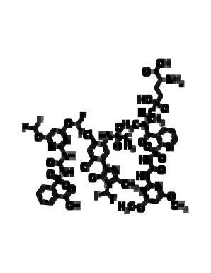 COc1cc(OC)nc(NC(=O)NS(=O)(=O)c2ncccc2C(=O)N(C)C)n1.CP(=O)(O)CCC(N)C(=O)O.Cc1nn(-c2cc(NS(C)(=O)=O)c(Cl)cc2Cl)c(=O)n1C(F)F.O=C(Nc1nc(OC(F)F)cc(OC(F)F)n1)NS(=O)(=O)c1ccccc1C(=O)O